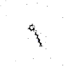 OC/C=C/CCCO[C@@H]1CCCCO1